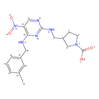 O=C(O)N1CCC(CNc2ncc([N+](=O)[O-])c(NCc3cccc(I)c3)n2)C1